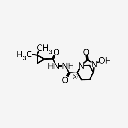 CC1(C)CC1C(=O)NNC(=O)[C@@H]1CCC2CN1C(=O)N2O